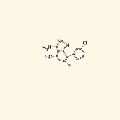 Nc1ncnc2c(-c3cccc(Cl)c3)c(F)cc(O)c12